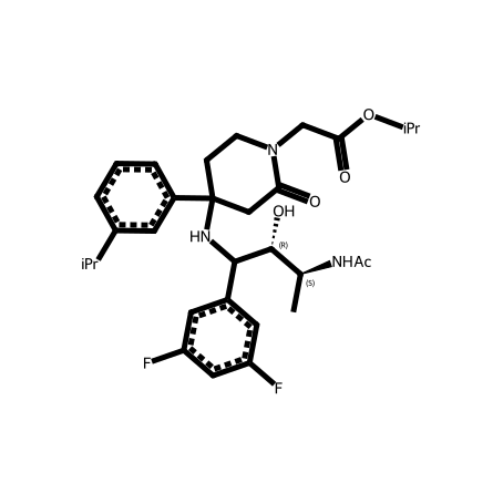 CC(=O)N[C@@H](C)[C@@H](O)C(NC1(c2cccc(C(C)C)c2)CCN(CC(=O)OC(C)C)C(=O)C1)c1cc(F)cc(F)c1